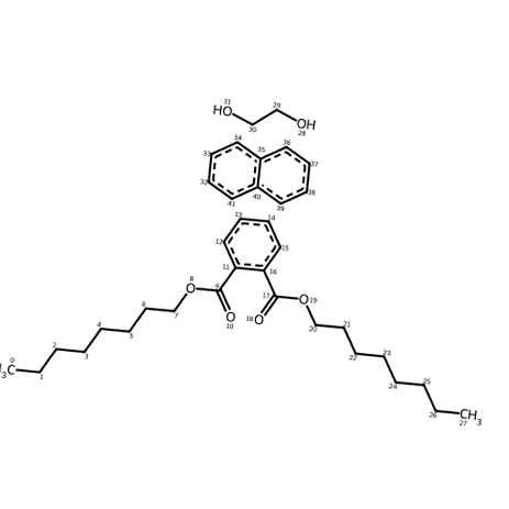 CCCCCCCCOC(=O)c1ccccc1C(=O)OCCCCCCCC.OCCO.c1ccc2ccccc2c1